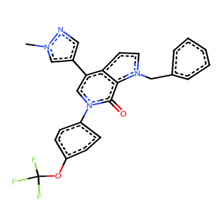 Cn1cc(-c2cn(-c3ccc(OC(F)(F)F)cc3)c(=O)c3c2ccn3Cc2ccccc2)cn1